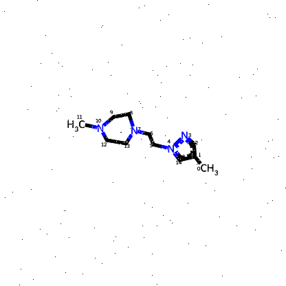 Cc1cnn(CCN2CCN(C)CC2)c1